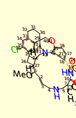 CO[C@@H]1/C=C/CNCC(C)(C)C(=O)NS(=O)(=O)c2ccc3c(c2)N(C[C@@H]2CC[C@H]21)C[C@@]1(CCCc2cc(Cl)ccc21)CO3